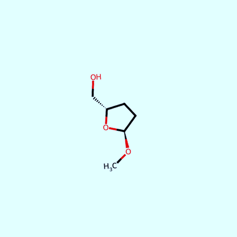 CO[C@@H]1CC[C@@H](CO)O1